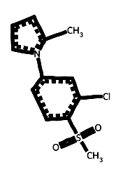 Cc1cccn1-c1ccc(S(C)(=O)=O)c(Cl)c1